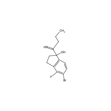 CCCC(=N)C1(O)CCc2c1ccc(Br)c2F